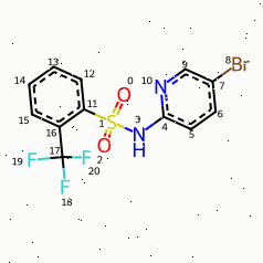 O=S(=O)(Nc1ccc(Br)cn1)c1ccccc1C(F)(F)F